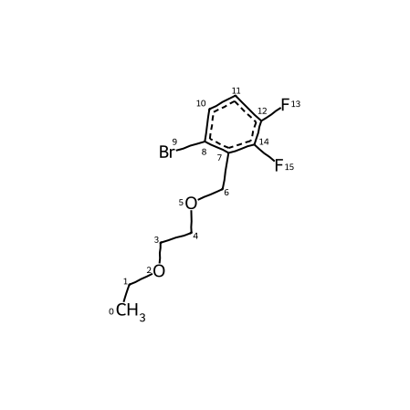 CCOCCOCc1c(Br)ccc(F)c1F